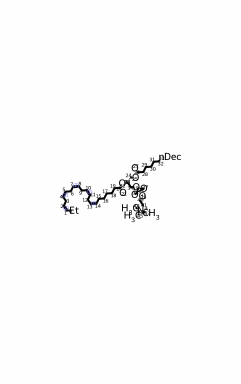 CC/C=C\C/C=C\C/C=C\C/C=C\C/C=C\CCCCCC(=O)O[C@H](COC(=O)CCCCCCCCCCCCCCC)COP(=O)([O-])OCC[N+](C)(C)C